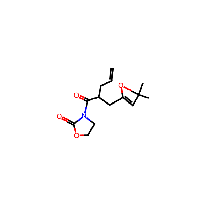 C=CCC(CC1=CC(C)(C)O1)C(=O)N1CCOC1=O